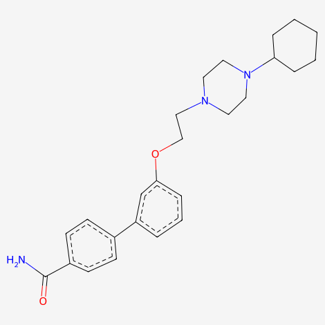 NC(=O)c1ccc(-c2cccc(OCCN3CCN(C4CCCCC4)CC3)c2)cc1